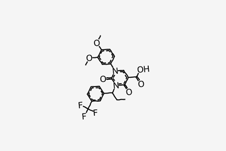 CCC(c1cccc(C(F)(F)F)c1)n1c(=O)c(C(=O)O)cn(-c2ccc(OC)c(OC)c2)c1=O